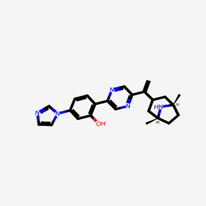 C=C(c1cnc(-c2ccc(-n3ccnc3)cc2O)cn1)C1C[C@]2(C)CC[C@](C)(C1)N2